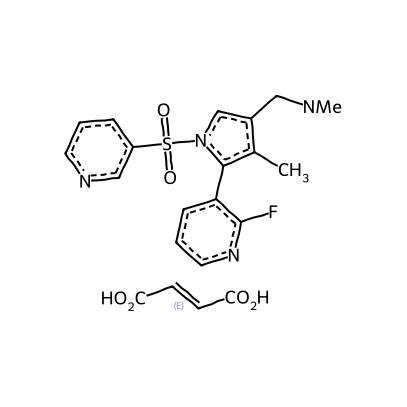 CNCc1cn(S(=O)(=O)c2cccnc2)c(-c2cccnc2F)c1C.O=C(O)/C=C/C(=O)O